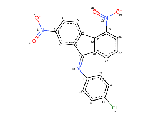 O=[N+]([O-])c1ccc2c(c1)/C(=N/c1ccc(Cl)cc1)c1cccc([N+](=O)[O-])c1-2